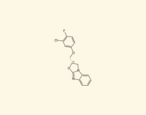 Fc1ccc(OC[C@@H]2Cn3c(nc4ccccc43)O2)cc1Cl